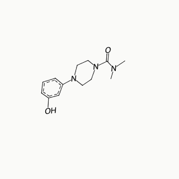 CN(C)C(=O)N1CCN(c2cccc(O)c2)CC1